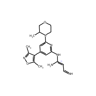 Cc1noc(C)c1-c1cc(N/C(N)=C/C=N)nc(N2CCOCC2C)c1